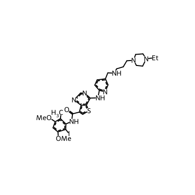 CCN1CCN(CCCNCc2ccc(Nc3ncnc4c(C(=O)Nc5c(C)c(OC)cc(OC)c5I)csc34)nc2)CC1